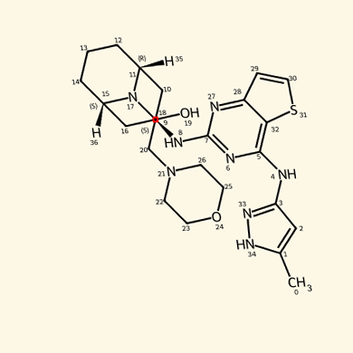 Cc1cc(Nc2nc(N[C@@H]3C[C@H]4CCC[C@@H](C3)N4C(O)CN3CCOCC3)nc3ccsc23)n[nH]1